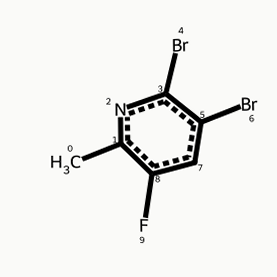 Cc1nc(Br)c(Br)cc1F